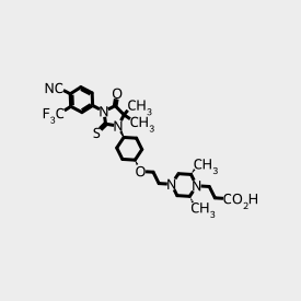 C[C@@H]1CN(CCO[C@H]2CC[C@H](N3C(=S)N(c4ccc(C#N)c(C(F)(F)F)c4)C(=O)C3(C)C)CC2)C[C@H](C)N1CCC(=O)O